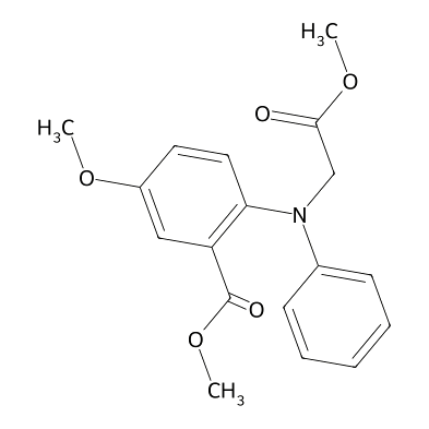 COC(=O)CN(c1ccccc1)c1ccc(OC)cc1C(=O)OC